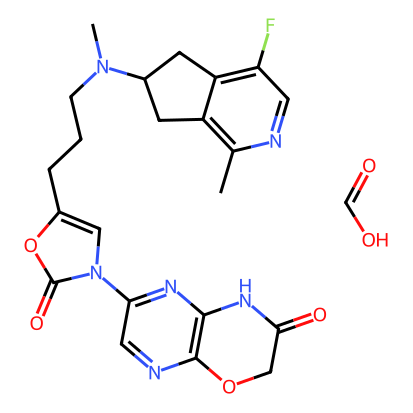 Cc1ncc(F)c2c1CC(N(C)CCCc1cn(-c3cnc4c(n3)NC(=O)CO4)c(=O)o1)C2.O=CO